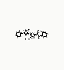 Cn1nc(-c2ccccc2)cc1-c1sc(C(=O)Nc2ccccc2F)cc1N